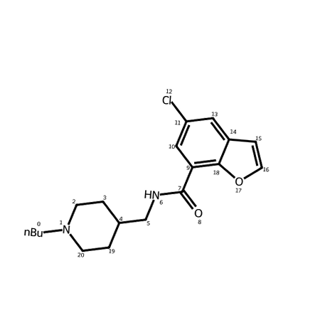 CCCCN1CCC(CNC(=O)c2cc(Cl)cc3ccoc23)CC1